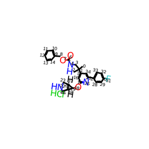 CC(C)(CNC(=O)OCc1ccccc1)c1cc(OC2[C@H]3CNC[C@@H]23)nc(-c2ccc(F)cc2)c1.Cl